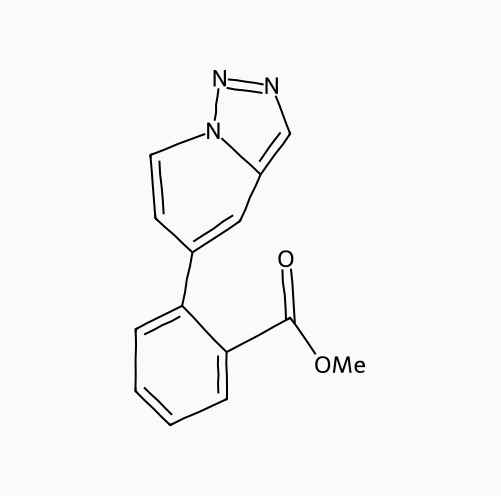 COC(=O)c1ccccc1-c1ccn2nncc2c1